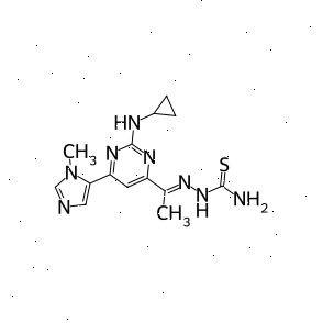 CC(=NNC(N)=S)c1cc(-c2cncn2C)nc(NC2CC2)n1